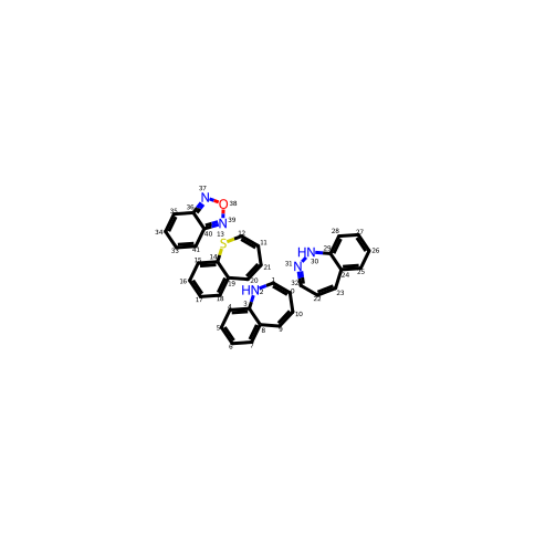 C1=CNc2ccccc2C=C1.C1=CSc2ccccc2C=C1.C1=Cc2ccccc2NN=C1.c1ccc2nonc2c1